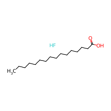 CCCCCCCCCCCCCCCC(=O)O.F